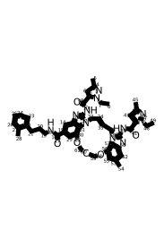 CCN1N=C(C)CC1C(=O)Nc1nc2cc(C(=O)NCCCc3ccccc3C)cc3c2n1C/C=C/Cn1c(NC(=O)c2cc(C)nn2CC)nc2cc(C)cc(c21)OCCCO3